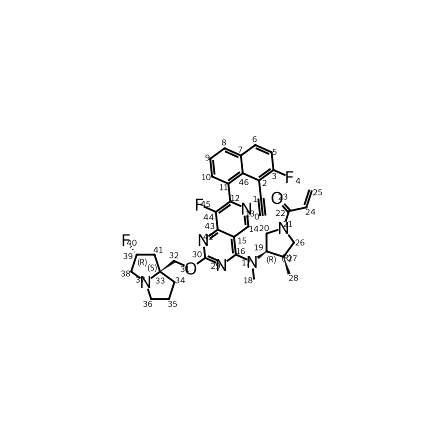 C#Cc1c(F)ccc2cccc(-c3ncc4c(N(C)[C@H]5CN(C(=O)C=C)C[C@H]5C)nc(OC[C@@]56CCCN5C[C@H](F)C6)nc4c3F)c12